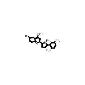 Cc1ccc(C)c(-c2ccc(-c3cc(C(=O)O)c4cc(Br)ccc4n3)n2C)c1